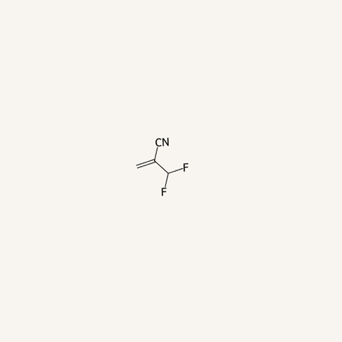 C=C(C#N)C(F)F